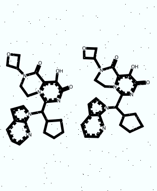 O=C1c2c(O)c(=O)nc(C(C3CCCC3)n3ccc4cccnc43)n2CCN1C1COC1.O=C1c2c(O)c(=O)nc(C(C3CCCC3)n3ccc4cccnc43)n2CCN1C1COC1